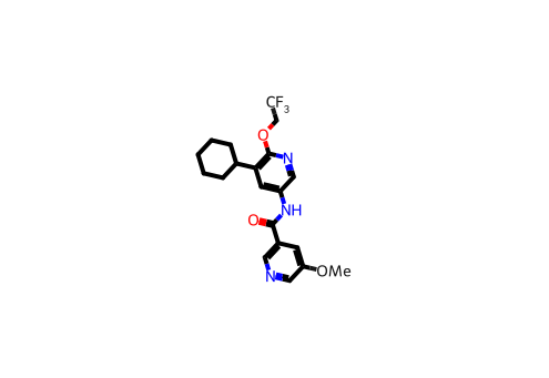 COc1cncc(C(=O)Nc2cnc(OCC(F)(F)F)c(C3CCCCC3)c2)c1